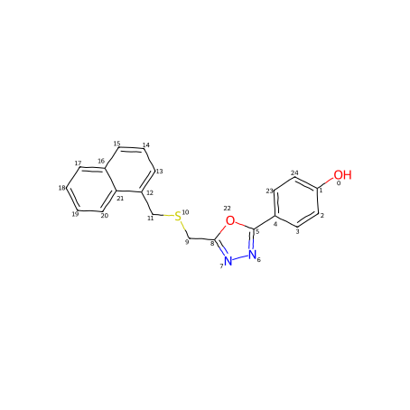 Oc1ccc(-c2nnc(CSCc3cccc4ccccc34)o2)cc1